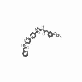 O=C(Cc1ccccn1)Nc1ccc(N2CCC(c3nnc(NC(=O)Cc4cccc(OC(F)(F)F)c4)s3)CC2)nn1